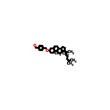 CC(C)CCCC(C)C1CCC2C3CC=C4CC(OCc5ccc(C=O)cc5)CCC4(C)C3CCC12C